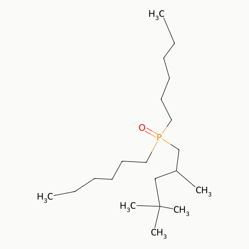 CCCCCCP(=O)(CCCCCC)CC(C)CC(C)(C)C